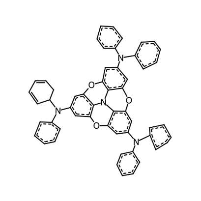 C1=CCC(N(c2ccccc2)c2cc3c4c(c2)Oc2cc(N(c5ccccc5)c5ccccc5)cc5c2N4c2c(cc(N(c4ccccc4)c4ccccc4)cc2O3)O5)C=C1